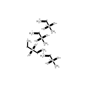 C=CS(=O)(=O)CC.C=CS(C)(=O)=O.C=CS(C)(=O)=O.C=CS(C)(=O)=O